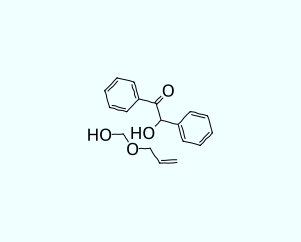 C=CCOCO.O=C(c1ccccc1)C(O)c1ccccc1